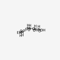 CCNC(=O)Nc1ccc2c(c1)Cc1cc(NC(=O)NCCCOC(=O)Nc3cccc(NC(=O)CO)c3)ccc1-2